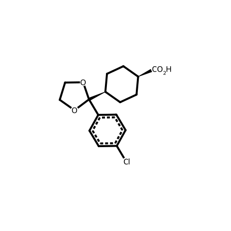 O=C(O)[C@H]1CC[C@@H](C2(c3ccc(Cl)cc3)OCCO2)CC1